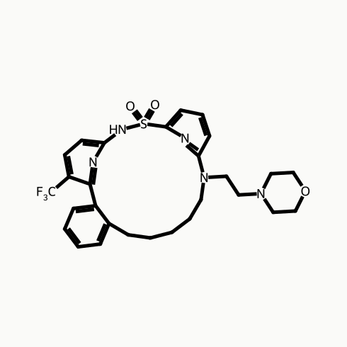 O=S1(=O)Nc2ccc(C(F)(F)F)c(n2)-c2ccccc2CCCCCN(CCN2CCOCC2)c2cccc1n2